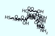 CC(C)(COP(=O)(O)OP(=O)(O)OC[C@H]1O[C@@H](n2cnc3c(N)ncnc32)[C@H](O)[C@@H]1OP(=O)(O)O)[C@@H](O)C(=O)NCCC(=O)NCCS.O=C(O)CCC(=O)CC(=O)O